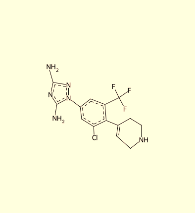 Nc1nc(N)n(-c2cc(Cl)c(C3=CCNCC3)c(C(F)(F)F)c2)n1